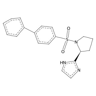 O=S(=O)(c1ccc(-c2ccccc2)cc1)N1CCC[C@H]1c1ncc[nH]1